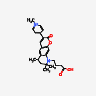 CC1CC(C)(C)N(CCCC(=O)O)c2cc3oc(=O)c(-c4cc[n+](C)cc4)cc3cc21